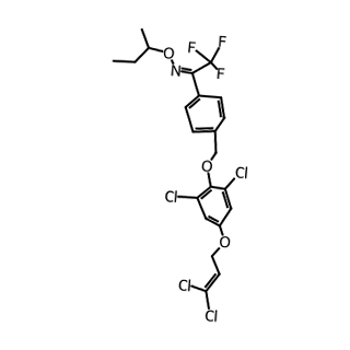 CCC(C)ON=C(c1ccc(COc2c(Cl)cc(OCC=C(Cl)Cl)cc2Cl)cc1)C(F)(F)F